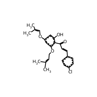 CC(C)=CCOc1cc(OC=C(C)C)cc(O)c1C(=O)/C=C/c1ccc(Cl)cc1